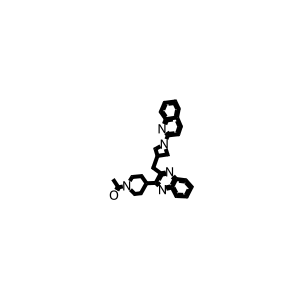 CC(=O)N1CCC(c2nc3ccccc3nc2CC2CN(c3ccc4ccccc4n3)C2)CC1